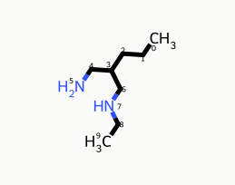 CCCC(CN)CNCC